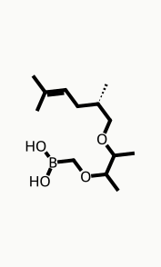 CC(C)=CC[C@H](C)COC(C)C(C)OCB(O)O